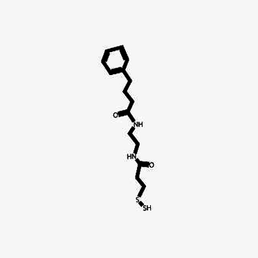 O=C(CCCc1ccccc1)NCCNC(=O)CCSS